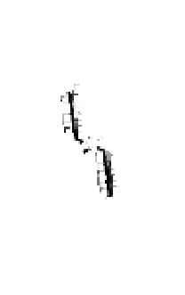 CC(SC(F)CC(F)(F)C(F)(F)C(F)(F)C(F)(F)C(F)(F)C(F)(F)C(F)(F)C(F)(F)F)(SC(F)CC(F)(F)C(F)(F)C(F)(F)C(F)(F)C(F)(F)C(F)(F)C(F)(F)C(F)(F)F)C(=O)O